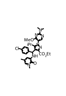 CCOC(=O)c1nn(-c2cnc(N(C)C)nc2OC)c(C(C)C)c1C(Nc1cc(C)cn(C)c1=O)c1ccc(Cl)cc1